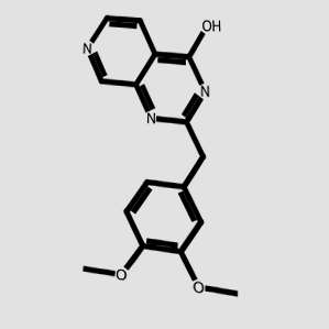 COc1ccc(Cc2nc(O)c3ccncc3n2)cc1OC